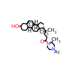 CC(=O)N1CCN(C(=O)CC[C@@H](C)[C@H]2CC[C@H]3[C@@H]4CC=C5C[C@@H](O)CC[C@]5(C)[C@H]4CC[C@]23C)[C@H](C)C1